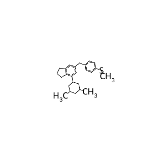 CSc1ccc(Cc2cc3c(c(C4CC(C)CC(C)C4)c2)CCC3)cc1